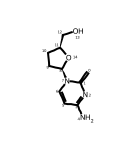 C=C1N=C(N)C=CN1[C@H]1CC[C@@H](CO)O1